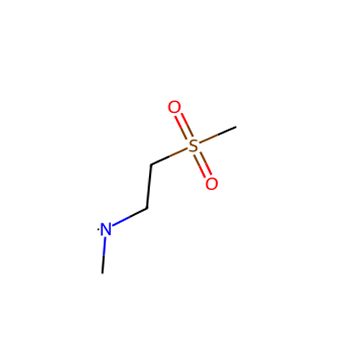 C[N]CCS(C)(=O)=O